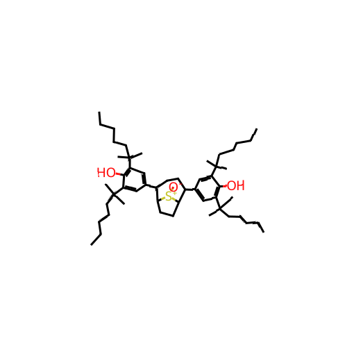 CCCCCC(C)(C)c1cc(C2CCC(c3cc(C(C)(C)CCCCC)c(O)c(C(C)(C)CCCCC)c3)C3CCC2[S+]3[O-])cc(C(C)(C)CCCCC)c1O